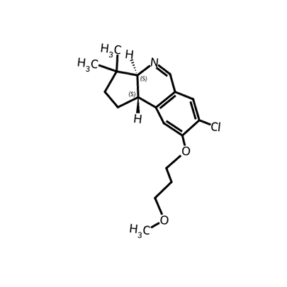 COCCCOc1cc2c(cc1Cl)C=N[C@H]1[C@H]2CCC1(C)C